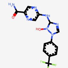 NC(=O)c1cnc(NC2N=CN(c3ccc(C(F)(F)F)cc3)N2O)cn1